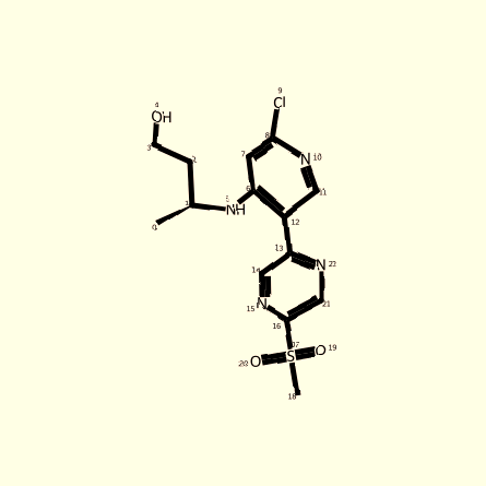 C[C@@H](CCO)Nc1cc(Cl)ncc1-c1cnc(S(C)(=O)=O)cn1